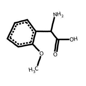 COc1ccccc1C(N)C(=O)O